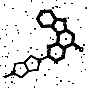 CN1CC2CN(c3ncc4c(=O)cc5sc6ccccc6n5c4n3)CC2C1